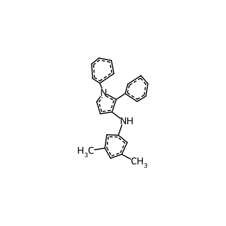 Cc1cc(C)cc(Nc2ccn(-c3ccccc3)c2-c2ccccc2)c1